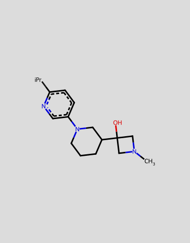 CC(C)c1ccc(N2CCCC(C3(O)CN(C)C3)C2)cn1